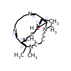 C/C1=C2\C=N/CCC\N=C/C(=C(/C)N(C)CCCCN1C)C(/C)=N/CCC\N=C\2C